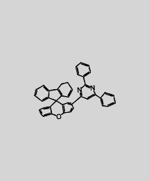 C1=CC2=C(CC1)c1ccccc1C21c2ccccc2Oc2ccc(-c3cc(-c4ccccc4)nc(-c4ccccc4)n3)cc21